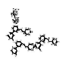 Cc1ccnc(-c2cc(CCc3cncnc3)ccn2)c1.Cc1ccnc(-c2cc(CCc3cncnc3)ccn2)c1.Cc1ccnc(-c2cc(CCc3cncnc3)ccn2)c1.F[P-](F)(F)(F)(F)F.F[P-](F)(F)(F)(F)F.[Fe+3]